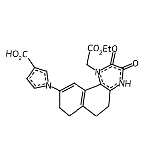 CCOC(=O)Cn1c2c([nH]c(=O)c1=O)CCC1=C2C=C(n2ccc(C(=O)O)c2)CC1